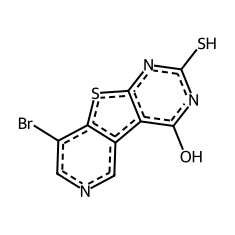 Oc1nc(S)nc2sc3c(Br)cncc3c12